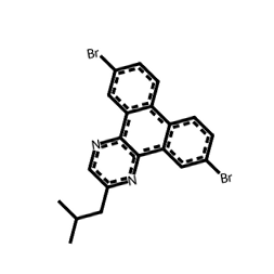 CC(C)Cc1cnc2c3cc(Br)ccc3c3ccc(Br)cc3c2n1